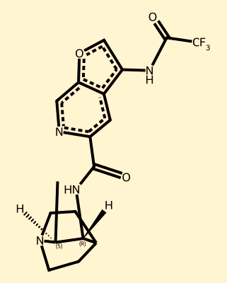 C[C@H]1[C@H](NC(=O)c2cc3c(NC(=O)C(F)(F)F)coc3cn2)C2CCN1CC2